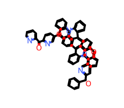 O=C(c1ccccc1)c1ccc(-c2cccc(-c3cc(-c4ccccc4N4c5ccccc5Oc5ccccc54)c(-c4cccc(-c5ccc(C(=O)c6ccccn6)nc5)c4)cc3-c3ccccc3N3c4ccccc4Oc4ccccc43)c2)cn1